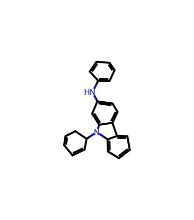 C1=CCC(n2c3ccccc3c3ccc(Nc4ccccc4)cc32)C=C1